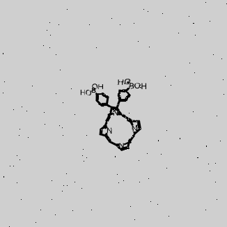 OB(O)c1ccc(C2=C(c3ccc(B(O)O)cc3)C3=NC2=CC2=NC(=CC4=NC(=CC5=NC(=C3)C=C5)C=C4)C=C2)cc1